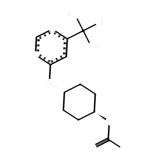 CC(=O)N[C@H]1CC[C@H](Nc2cc(C(C)(C)C)ncn2)CC1